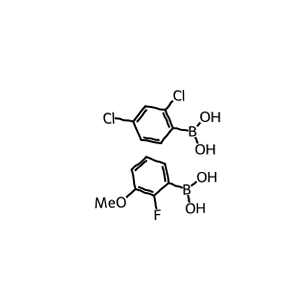 COc1cccc(B(O)O)c1F.OB(O)c1ccc(Cl)cc1Cl